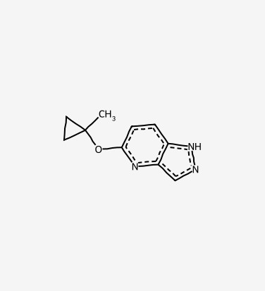 CC1(Oc2ccc3[nH]ncc3n2)CC1